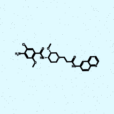 COc1cc(N)c(Cl)cc1C(=O)N[C@H]1CCN(CCC(=O)Nc2ccc3ncccc3c2)C[C@H]1OC